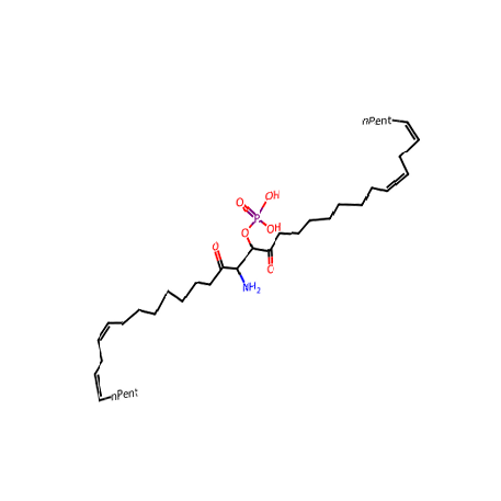 CCCCC/C=C\C/C=C\CCCCCCCC(=O)C(N)C(OP(=O)(O)O)C(=O)CCCCCCC/C=C\C/C=C\CCCCC